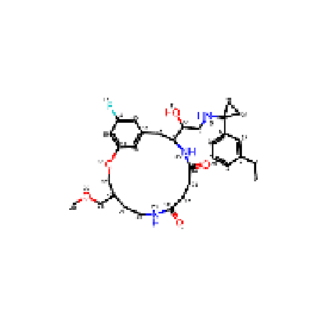 CCc1cccc(C2(NCC(O)C3Cc4cc(F)cc(c4)OCC(COC)CCNC(=O)CCC(=O)N3)CC2)c1